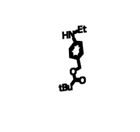 CCNc1ccc(COC(=O)C(C)(C)C)cc1